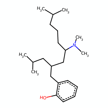 CC(C)CCCC(CC(Cc1ccccc1O)CC(C)C)N(C)C